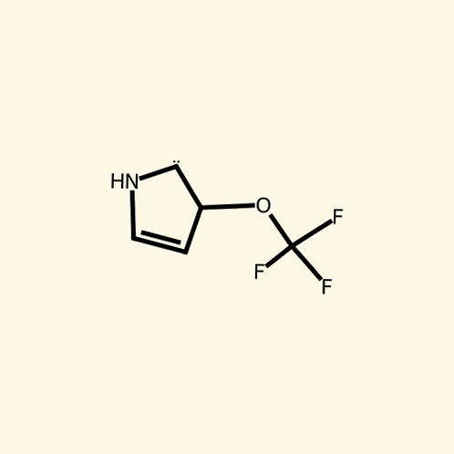 FC(F)(F)OC1[C]NC=C1